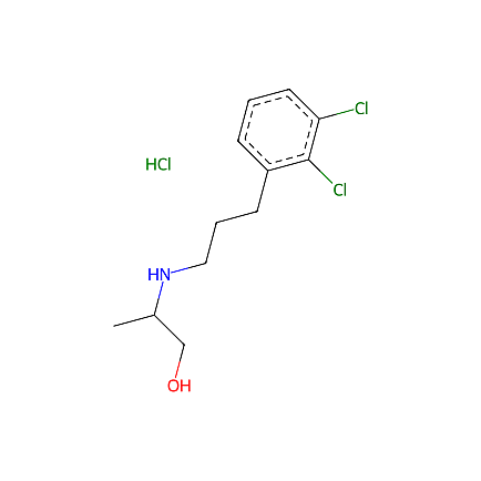 CC(CO)NCCCc1cccc(Cl)c1Cl.Cl